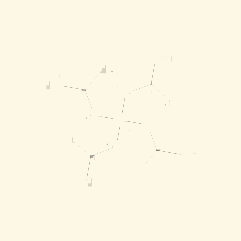 CCCC([O][Ti]([O]C(CCC)C(C)CC)([O]C(CCC)C(C)CC)[O]C(CCC)C(C)CC)C(C)CC